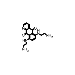 NCCNc1ccc(NCCN)c2c1C(=O)c1cccnc1C2=O